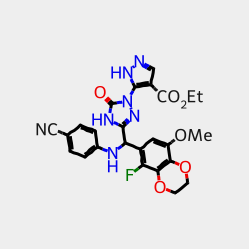 CCOC(=O)c1cn[nH]c1-n1nc(C(Nc2ccc(C#N)cc2)c2cc(OC)c3c(c2F)OCCO3)[nH]c1=O